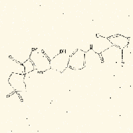 O=C(Nc1ccc(C[C@H](NC2=C(Br)C(=O)C23CCS(=O)(=O)CC3)C(=O)O)cc1)c1c(Cl)cncc1Cl